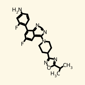 CC(C)c1nc(C2CCN(c3ncnc4c(-c5ccc(N)cc5F)cc(F)cc34)CC2)no1